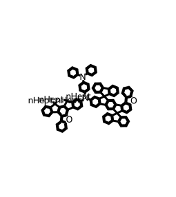 CCCCCCCC1(CCCCCCC)c2cc(N(c3ccc(N(c4ccccc4)c4ccccc4)cc3)c3ccc4c(c3)C3(c5ccccc5-c5ccccc53)c3cc5c(cc3-4)C3(c4ccccc4-c4ccccc43)c3ccc4oc6ccccc6c4c3-5)ccc2-c2c1c1c(c3c2oc2ccccc23)-c2ccccc2C1(CCCCCCC)CCCCCCC